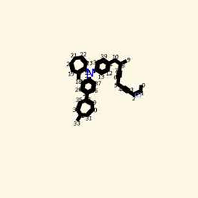 C/C=C\C#CCC#CC(C)Cc1ccc(N(C2=C(C)C=CCC=C2)c2ccc(C3=CC=CC(C)C=C3)cc2)cc1